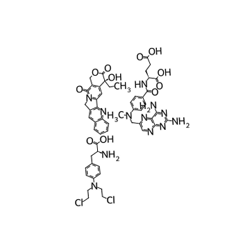 CC[C@@]1(O)C(=O)OCc2c1cc1n(c2=O)Cc2cc3ccccc3nc2-1.CN(Cc1cnc2nc(N)nc(N)c2n1)c1ccc(C(=O)N[C@@H](CCC(=O)O)C(=O)O)cc1.N[C@@H](Cc1ccc(N(CCCl)CCCl)cc1)C(=O)O